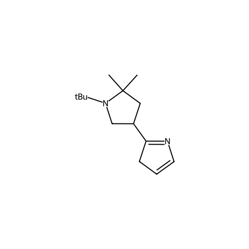 CC(C)(C)N1CC(C2=NC=CC2)CC1(C)C